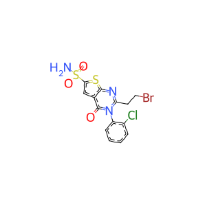 NS(=O)(=O)c1cc2c(=O)n(-c3ccccc3Cl)c(CCBr)nc2s1